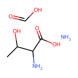 CC(O)C(N)C(=O)O.N.O=CO